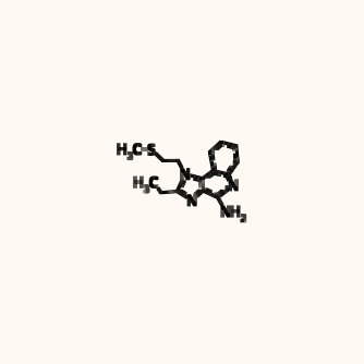 CCc1nc2c(N)nc3ccccc3c2n1CCSC